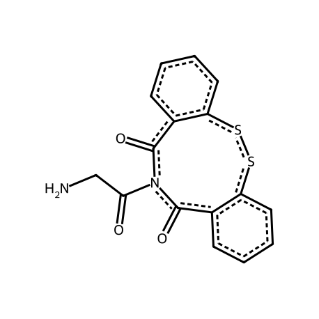 NCC(=O)n1c(=O)c2ccccc2ssc2ccccc2c1=O